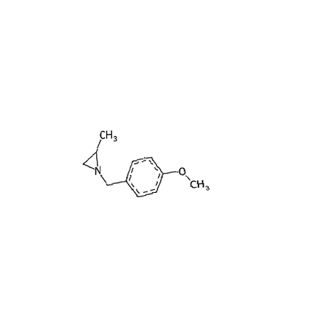 COc1ccc(CN2CC2C)cc1